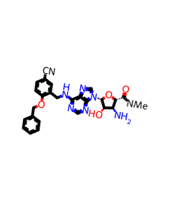 CNC(=O)[C@H]1O[C@@H](n2cnc3c(NCc4cc(C#N)ccc4OCc4ccccc4)ncnc32)[C@H](O)[C@@H]1N